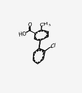 Cc1ccc(-c2ccccc2Cl)cc1C(=O)O